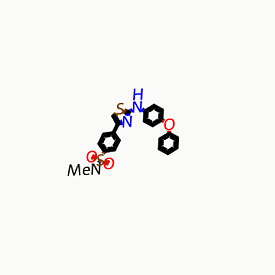 CNS(=O)(=O)c1ccc(-c2csc(Nc3ccc(Oc4ccccc4)cc3)n2)cc1